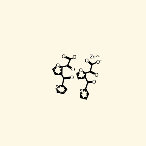 O=C([O-])C(=O)c1occc1C(=O)c1cccs1.O=C([O-])C(=O)c1occc1C(=O)c1cccs1.[Zn+2]